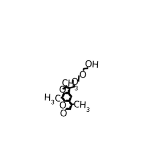 Cc1oc2c(C)c3oc(=O)cc(C)c3cc2c1COCCOCCO